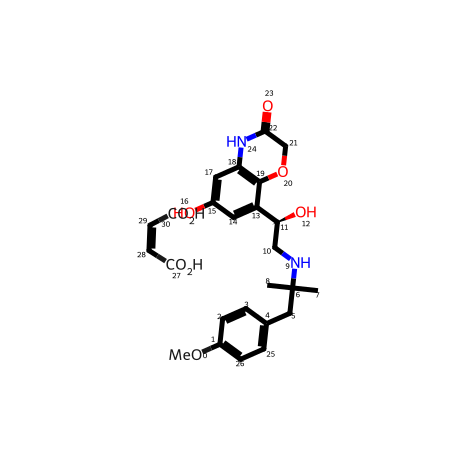 COc1ccc(CC(C)(C)NC[C@H](O)c2cc(O)cc3c2OCC(=O)N3)cc1.O=C(O)/C=C\C(=O)O